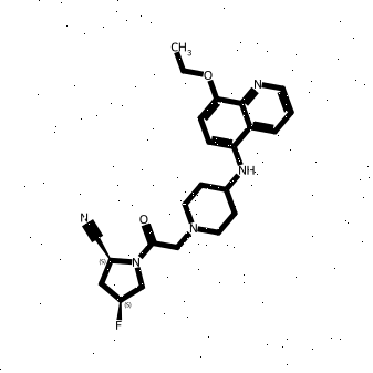 CCOc1ccc(NC2CCN(CC(=O)N3C[C@@H](F)C[C@H]3C#N)CC2)c2cccnc12